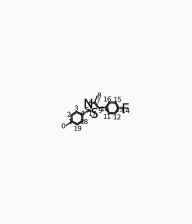 Cc1ccc(-c2nc(C)c(-c3ccc(F)cc3)s2)cc1